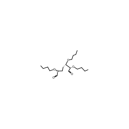 CCCCO[C@@H](CCN(C=O)OCCCC)[C@@H](C=O)OCCCC